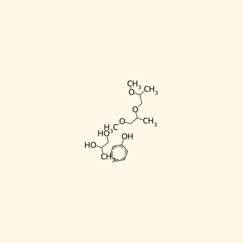 CC(O)CO.COCC(C)OCC(C)OC.Oc1ccccc1